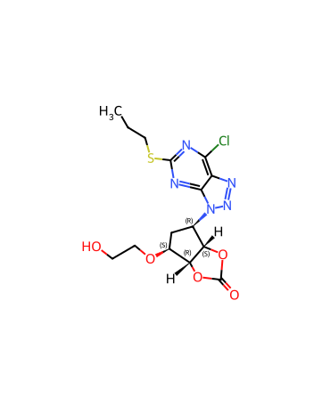 CCCSc1nc(Cl)c2nnn([C@@H]3C[C@H](OCCO)[C@H]4OC(=O)O[C@H]43)c2n1